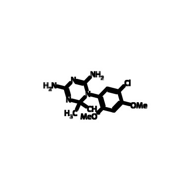 COc1cc(OC)c(N2C(N)=NC(N)=NC2(C)C)cc1Cl